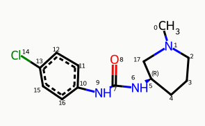 CN1CCC[C@@H](NC(=O)Nc2ccc(Cl)cc2)C1